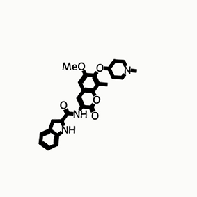 COc1cc2cc(NC(=O)C3Cc4ccccc4N3)c(=O)oc2c(C)c1OC1CCN(C)CC1